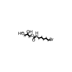 O=C(NCCCCCBr)OCC(O)CO